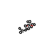 c1ccc(-c2nc(-c3ccc4c5ccc(-c6ccccc6-c6ccccc6N(c6ccc7ccccc7c6)c6cccc7ccccc67)cc5n(-c5ccccc5)c4c3)nc3ccccc23)cc1